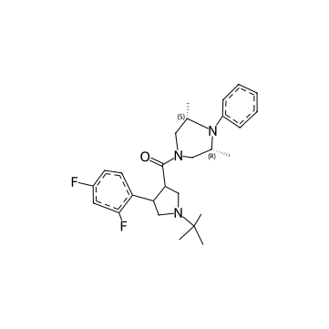 C[C@@H]1CN(C(=O)C2CN(C(C)(C)C)CC2c2ccc(F)cc2F)C[C@H](C)N1c1ccccc1